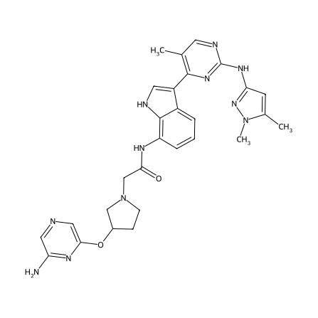 Cc1cnc(Nc2cc(C)n(C)n2)nc1-c1c[nH]c2c(NC(=O)CN3CCC(Oc4cncc(N)n4)C3)cccc12